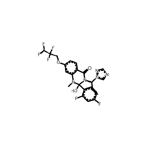 CCC(N1C(=O)c2ccc(OCC(F)(F)C(F)F)cc2N(C)C1(O)c1ccc(F)cc1F)n1cncn1